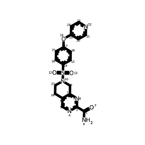 NC(=O)c1n[c]c2c(n1)CN(S(=O)(=O)c1ccc(Oc3ccncc3)cc1)CC2